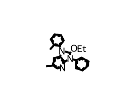 CCOC1N(c2ccccc2C)c2cc(C)cnc2N1c1ccccc1